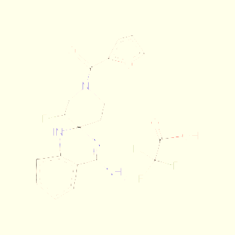 NC1=NC2(CCN(C(=O)c3ccco3)CC2F)Nc2ccccc21.O=C(O)C(F)(F)F